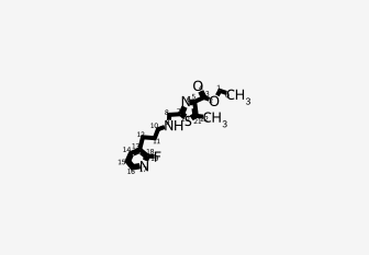 CCOC(=O)c1nc(CNCCCc2cccnc2F)sc1C